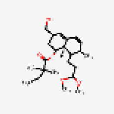 CCC(C)(C)C(=O)OC1CC(CO)C=C2C=CC(C)C(CCC(OC)OC)[C@@H]21